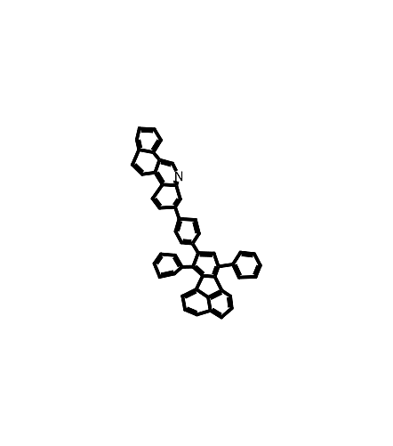 c1ccc(-c2cc(-c3ccc(-c4ccc5c(c4)ncc4c6ccccc6ccc54)cc3)c(-c3ccccc3)c3c2-c2cccc4cccc-3c24)cc1